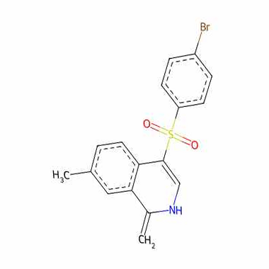 C=C1NC=C(S(=O)(=O)c2ccc(Br)cc2)c2ccc(C)cc21